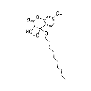 CCCCCCCCCCOC1(O)c2ccc(OC)cc2OC(=O)C1O